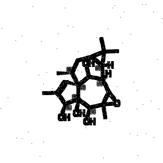 CC1=C[C@]23C(O)[C@@H](C4OC4(C)[C@@H](O)[C@]2(O)[C@H]1O)[C@H]1C(C[C@H]3C)C1(C)C